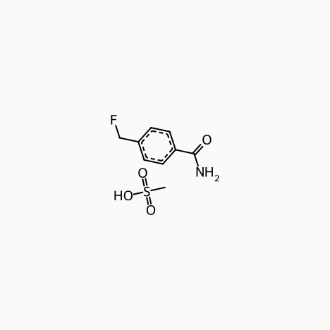 CS(=O)(=O)O.NC(=O)c1ccc(CF)cc1